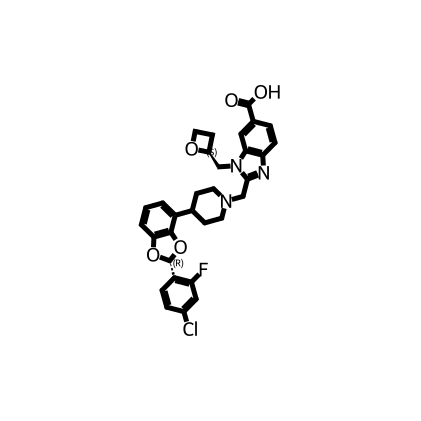 O=C(O)c1ccc2nc(CN3CCC(c4cccc5c4O[C@H](c4ccc(Cl)cc4F)O5)CC3)n(C[C@@H]3CCO3)c2c1